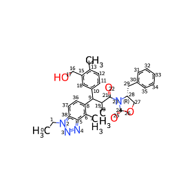 CCn1nnc2c(C)c(C(c3ccc(C)c(CO)c3)C(C)C(=O)N3C(=O)OC[C@H]3Cc3ccccc3)ccc21